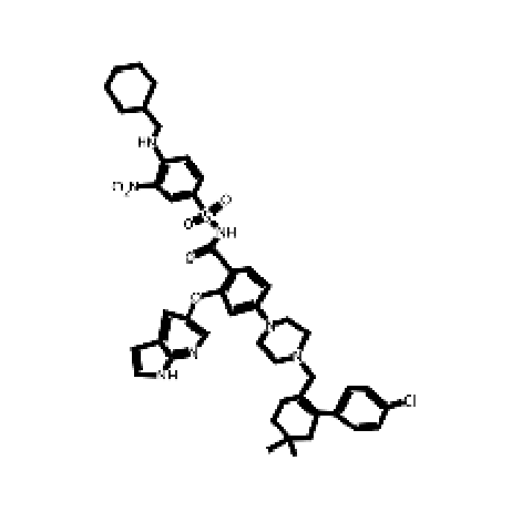 CC1(C)CCC(CN2CCN(c3ccc(C(=O)NS(=O)(=O)c4ccc(NCC5CCCCC5)c([N+](=O)[O-])c4)c(Oc4cnc5[nH]ccc5c4)c3)CC2)=C(c2ccc(Cl)cc2)C1